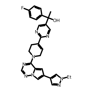 CCn1cc(-c2cc3c(N4CC=C(c5ncc(C(C)(O)c6ccc(F)cc6)cn5)CC4)ncnn3c2)cn1